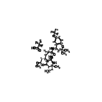 CC[C@]1(C)CC(=O)N([C@H](CCOC)[C@@H]2C[C@H]2C(=O)NC2CC(C)(C)Oc3ccc(OC(F)(F)F)cc32)C(=N)N1.O=C(O)C(F)(F)F